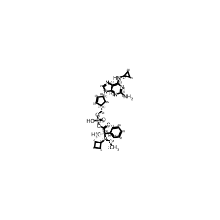 CON(C1CCC1)[C@@](C)(C(=O)OP(=O)(O)OC[C@@H]1C=C[C@H](n2cnc3c(NC4CC4)nc(N)nc32)C1)c1ccccc1